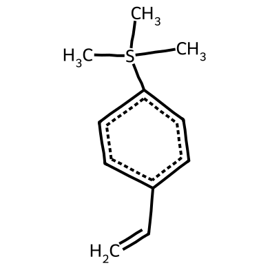 C=Cc1ccc(S(C)(C)C)cc1